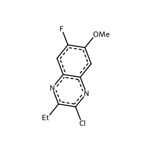 CCc1nc2cc(F)c(OC)cc2nc1Cl